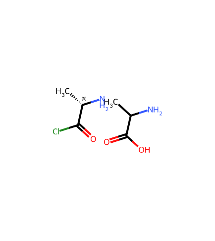 CC(N)C(=O)O.C[C@H](N)C(=O)Cl